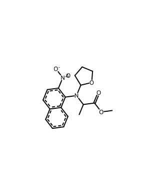 COC(=O)C(C)N(c1c([N+](=O)[O-])ccc2ccccc12)C1CCCO1